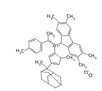 C/[C](c1ccc(C)cc1)=[Zr+2](/[C]1=CC(C2(C)C3CC4CC(C3)CC2C4)=CC1C)[CH]1c2cc(C)c(C)cc2-c2cc(C)c(C)cc21.[Cl-].[Cl-]